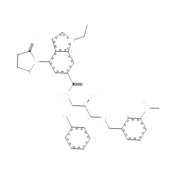 CCn1ccc2c(N3CCCC3=O)cc(C(=O)N[C@@H](Cc3ccccc3)[C@@H](O)CNCc3cccc(OC)c3)cc21